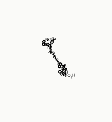 C=CC(=O)N1CCN(c2nc(OC[C@@H]3C[C@@H](OCCOCCOCCOc4ccc(-c5csc(C6CCCN6C(=O)[C@@H](NC(=O)C(C)N(C)C(=O)O)C6CCCCC6)n5)c5ccccc45)CN3C)nc3c2CCN(c2cccc4ccccc24)C3)CC1CC#N